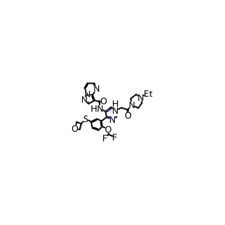 CCN1CCN(C(=O)CN/C=C(NC(=O)c2cnn3cccnc23)\C(=N/C)c2cc(SC3COC3)ccc2OC(F)F)CC1